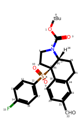 CC(C)(C)OC(=O)N1CC[C@@]2(S(=O)(=O)c3ccc(F)cc3)c3ccc(C=O)cc3CC[C@@H]12